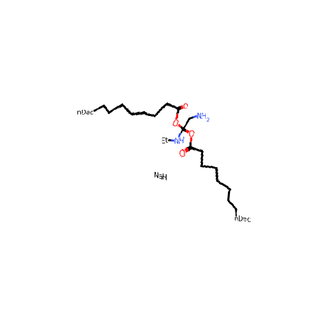 CCCCCCCCCCCCCCCCCC(=O)OC(CN)(NCC)OC(=O)CCCCCCCCCCCCCCCCC.[NaH]